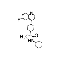 CC(C(=O)NC1CCCCC1)C1CCC(c2ccnc3ccc(F)cc23)CC1